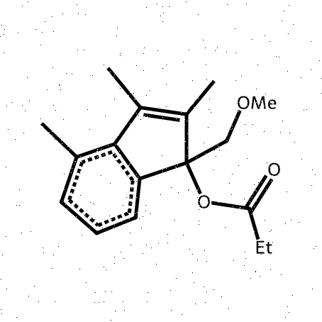 CCC(=O)OC1(COC)C(C)=C(C)c2c(C)cccc21